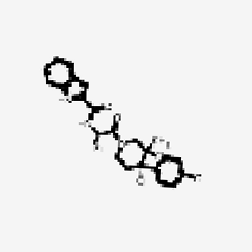 CC(C)[C@@H](NC(=O)c1cc2ccccc2[nH]1)C(=O)N1CC[C@](O)(c2ccc(Cl)cc2)C(C)(C)C1